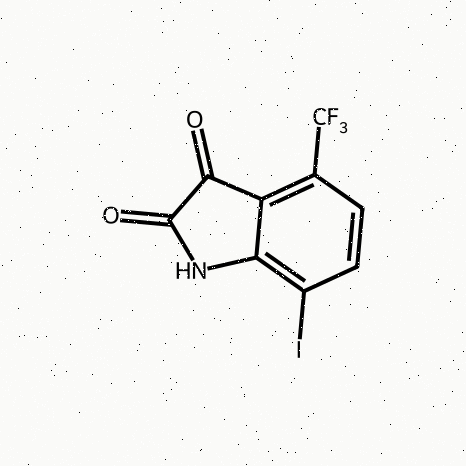 O=C1Nc2c(I)ccc(C(F)(F)F)c2C1=O